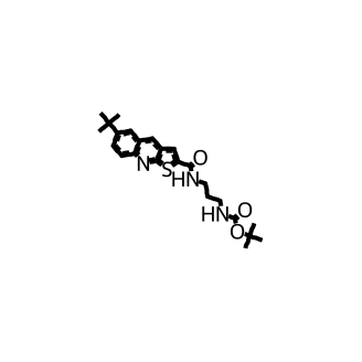 CC(C)(C)OC(=O)NCCCNC(=O)c1cc2cc3cc(C(C)(C)C)ccc3nc2s1